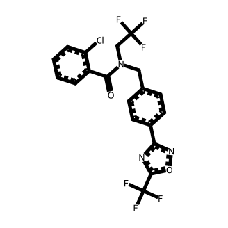 O=C(c1ccccc1Cl)N(Cc1ccc(-c2noc(C(F)(F)F)n2)cc1)CC(F)(F)F